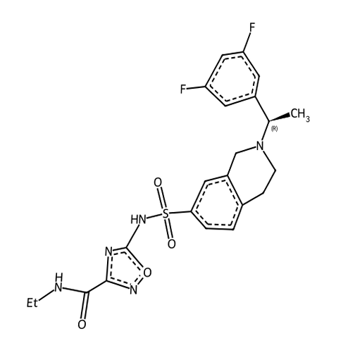 CCNC(=O)c1noc(NS(=O)(=O)c2ccc3c(c2)CN([C@H](C)c2cc(F)cc(F)c2)CC3)n1